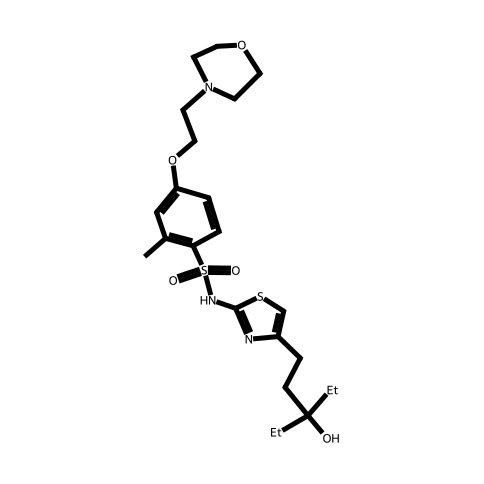 CCC(O)(CC)CCc1csc(NS(=O)(=O)c2ccc(OCCN3CCOCC3)cc2C)n1